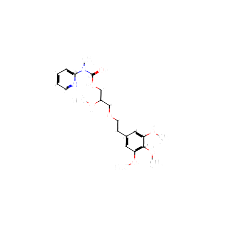 COc1cc(CCOCC(COC(=O)N(C)c2ccccn2)OC)cc(OC)c1OC